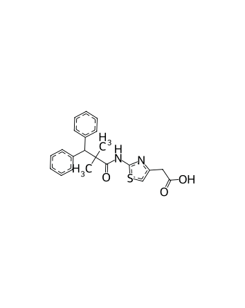 CC(C)(C(=O)Nc1nc(CC(=O)O)cs1)C(c1ccccc1)c1ccccc1